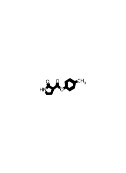 Cc1ccc(OC(=O)C2CCNC2=O)cc1